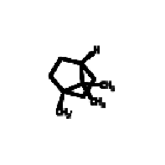 [CH2][C@]12CC[C@H](CC1)C2(C)C